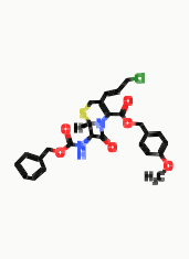 COc1ccc(COC(=O)C2=C(C=CCCl)CS[C@H]3[C@H](NC(=O)OCc4ccccc4)C(=O)N23)cc1